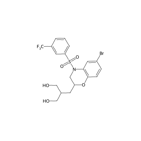 O=S(=O)(c1cccc(C(F)(F)F)c1)N1CC(CC(CO)CO)Oc2ccc(Br)cc21